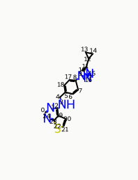 c1nc(NCc2ccc(-n3cc(C4CC4)nn3)cc2)c2ccsc2n1